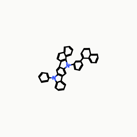 c1ccc(-n2c3ccccc3c3cc4c(cc32)c2ccc3ccccc3c2n4-c2cccc(-c3cccc4ccccc34)c2)cc1